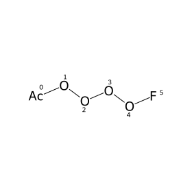 CC(=O)OOOOF